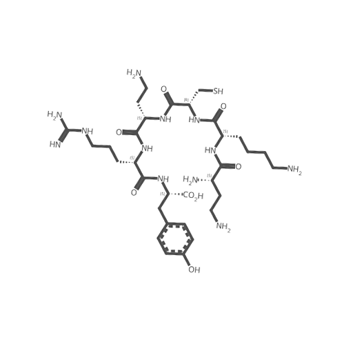 N=C(N)NCCC[C@H](NC(=O)[C@H](CCN)NC(=O)[C@H](CS)NC(=O)[C@H](CCCCN)NC(=O)[C@@H](N)CCN)C(=O)N[C@@H](Cc1ccc(O)cc1)C(=O)O